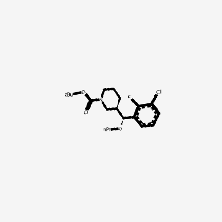 CCCO[C@@H](c1cccc(Cl)c1F)[C@@H]1CCCN(C(=O)OC(C)(C)C)C1